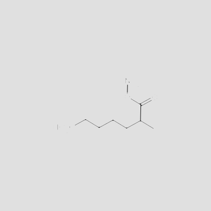 CC(CCCCC(=O)O)C(=O)ON